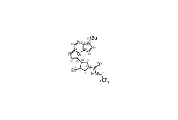 CC[C@@H]1CN(C(=O)NCC(F)(F)F)C[C@@H]1c1cnc2cnc3c(ccn3C(C)(C)C)n12